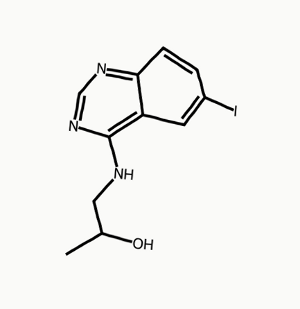 CC(O)CNc1ncnc2ccc(I)cc12